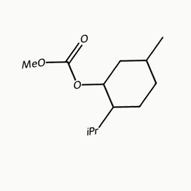 COC(=O)OC1CC(C)CCC1C(C)C